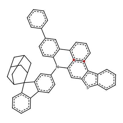 c1ccc(-c2ccc(N(c3ccc4c(c3)C3(c5ccccc5-4)C4CC5CC(C4)CC3C5)c3ccc4c(c3)sc3ccccc34)c(-c3ccccc3)c2)cc1